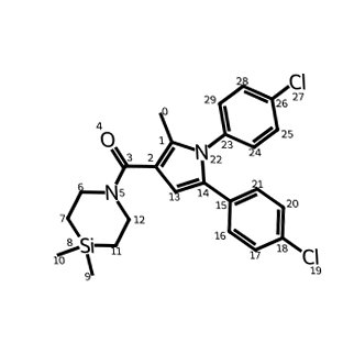 Cc1c(C(=O)N2CC[Si](C)(C)CC2)cc(-c2ccc(Cl)cc2)n1-c1ccc(Cl)cc1